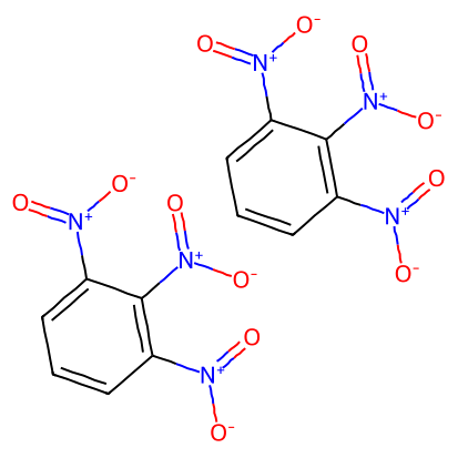 O=[N+]([O-])c1cccc([N+](=O)[O-])c1[N+](=O)[O-].O=[N+]([O-])c1cccc([N+](=O)[O-])c1[N+](=O)[O-]